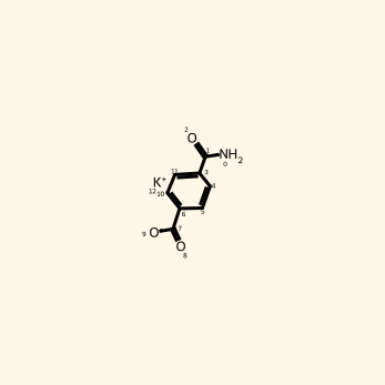 NC(=O)c1ccc(C(=O)[O-])cc1.[K+]